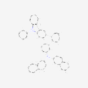 c1ccc(-n2c3ccccc3c3cc(-c4ccccc4-c4cccc(N(c5ccc6ccccc6c5)c5ccc6ccccc6c5)c4)ccc32)cc1